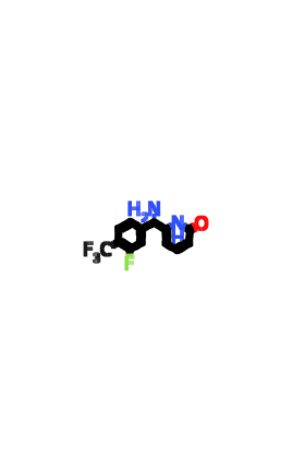 N[C@@H](c1ccc(C(F)(F)F)c(F)c1)c1cccc(=O)[nH]1